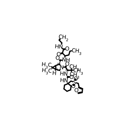 C=CCNC(=O)C(=O)C(CCC)NC(=O)[C@@H]1C2[C@H](CN1C(=O)[C@@H](NC(=O)NC1(CS(=O)(=O)Cc3ccco3)CCCCC1)C(C)(C)C)C2(C)C